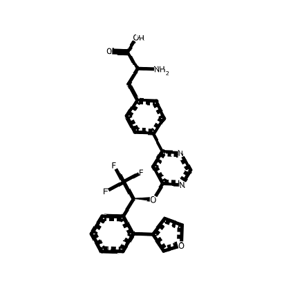 NC(Cc1ccc(-c2cc(O[C@@H](c3ccccc3-c3ccoc3)C(F)(F)F)ncn2)cc1)C(=O)O